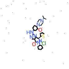 COc1cc(Nc2ncc3c(=O)n(-c4ccccc4Cl)nc(-c4cccs4)c3n2)ccc1N1CCN(C(C)C)CC1